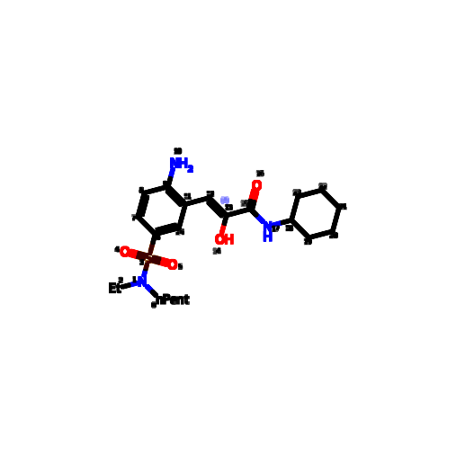 CCCCCN(CC)S(=O)(=O)c1ccc(N)c(/C=C(\O)C(=O)NC2CCCCC2)c1